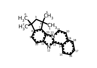 CC1(C)CC(C)(C)c2c1ccc1nc3c4ccccc4ccn3c21